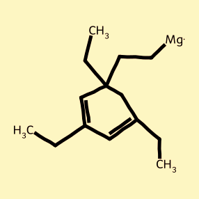 CCC1=CC(CC)(C[CH2][Mg])CC(CC)=C1